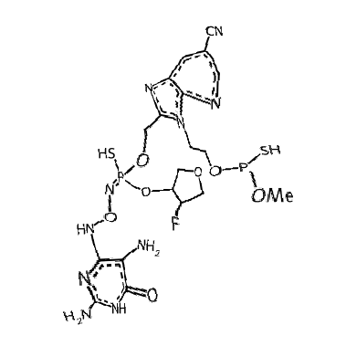 COP(S)OCCn1c(COP(S)(=NONc2nc(N)[nH]c(=O)c2N)OC2COCC2F)nc2cc(C#N)cnc21